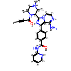 CC#CC(=O)N1C(c2nc(-c3ccc(C(=O)Nc4ccccn4)cc3)c3c(N)nccn23)[C@H](C)N(C(C)C)C[C@@H]1C